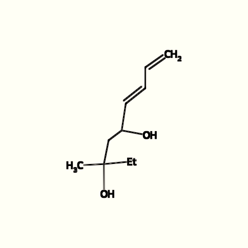 C=C/C=C/C(O)CC(C)(O)CC